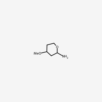 COC1CCOC(N)C1